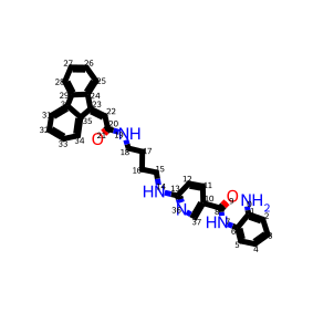 Nc1ccccc1NC(=O)c1ccc(NCCCCNC(=O)C=C2c3ccccc3-c3ccccc32)nc1